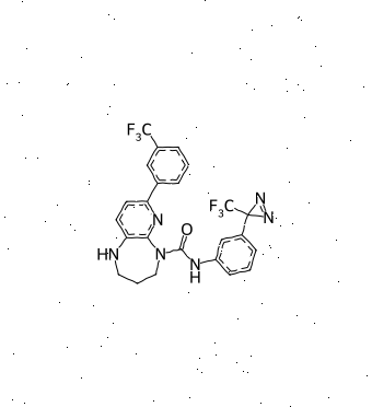 O=C(Nc1cccc(C2(C(F)(F)F)N=N2)c1)N1CCCNc2ccc(-c3cccc(C(F)(F)F)c3)nc21